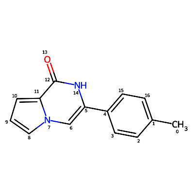 Cc1ccc(-c2cn3cccc3c(=O)[nH]2)cc1